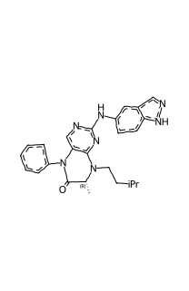 CC(C)CCN1c2nc(Nc3ccc4[nH]ncc4c3)ncc2N(c2ccccc2)C(=O)[C@H]1C